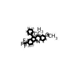 COc1ccc2c(c1)C(C)(C)C1=C(c3ccccc3)c3cc(C(F)(F)F)ccc3C1=N2